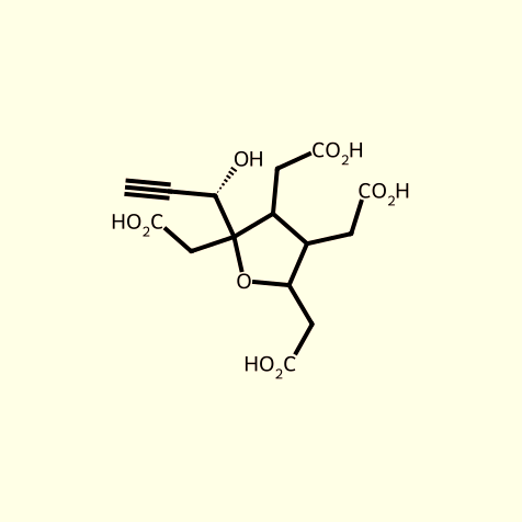 C#C[C@H](O)C1(CC(=O)O)OC(CC(=O)O)C(CC(=O)O)C1CC(=O)O